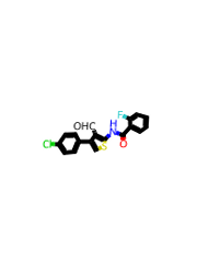 O=Cc1c(-c2ccc(Cl)cc2)csc1NC(=O)c1ccccc1F